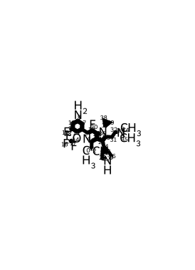 CC(C)c1nc(-c2cc(N)cc(F)c2OC(F)(F)F)c(F)c2c1c(C1C3CNCC31)c(CCN(C)C)n2C1CC1